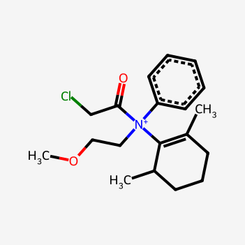 COCC[N+](C(=O)CCl)(C1=C(C)CCCC1C)c1ccccc1